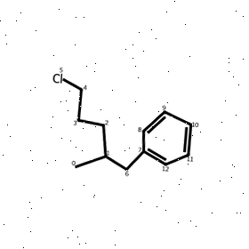 CC(CCCCl)Cc1[c]cccc1